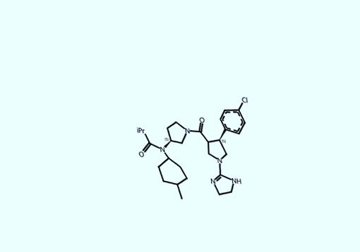 CC1CCC(N(C(=O)C(C)C)[C@H]2CCN(C(=O)C3CN(C4=NCCN4)C[C@@H]3c3ccc(Cl)cc3)C2)CC1